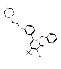 [C-]#[N+]c1c(C(F)(F)F)cc(-c2cccc(OCCN3CCCCC3)c2)n(Cc2ccccc2)c1=O